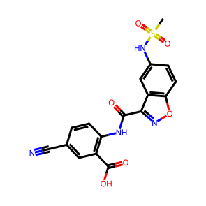 CS(=O)(=O)Nc1ccc2onc(C(=O)Nc3ccc(C#N)cc3C(=O)O)c2c1